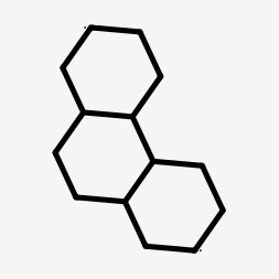 [CH]1CCC2C(C1)CCC1C[CH]CCC12